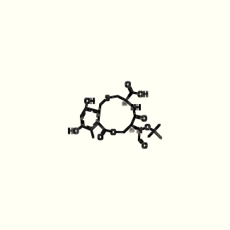 Cc1c(O)cc(O)c2c1C(=O)OC[C@H](N(C=O)OC(C)(C)C)C(=O)N[C@H](C(=O)O)CSC2